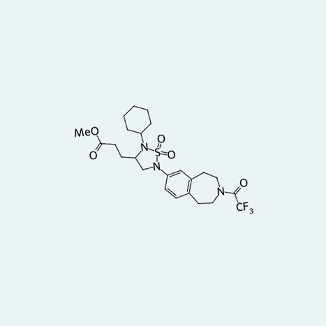 COC(=O)CCC1CN(c2ccc3c(c2)CCN(C(=O)C(F)(F)F)CC3)S(=O)(=O)N1C1CCCCC1